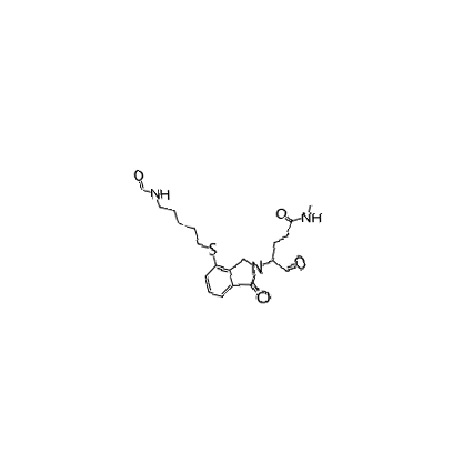 CNC(=O)CCC(C=O)N1Cc2c(SCCCCCNC=O)cccc2C1=O